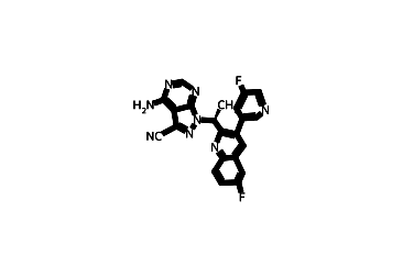 C[C@@H](c1nc2ccc(F)cc2cc1-c1cncc(F)c1)n1nc(C#N)c2c(N)ncnc21